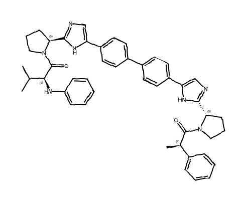 CC(C)[C@H](Nc1ccccc1)C(=O)N1CCC[C@H]1c1ncc(-c2ccc(-c3ccc(-c4cnc([C@@H]5CCCN5C(=O)[C@H](C)c5ccccc5)[nH]4)cc3)cc2)[nH]1